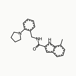 Cc1cccc2cc(C(=O)NCc3ccccc3N3CCCC3)[nH]c12